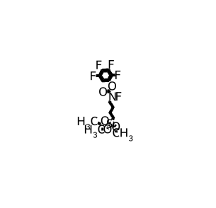 CCO[Si](CCCCN(F)C(=O)Oc1cc(F)c(F)c(F)c1F)(OC)OC